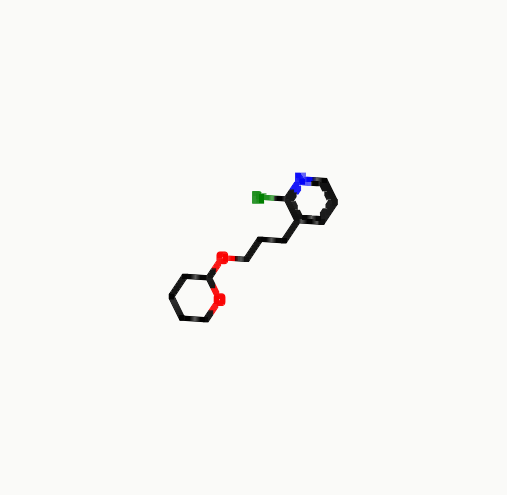 Brc1ncccc1CCCOC1CCCCO1